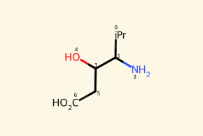 CC(C)C(N)C(O)CC(=O)O